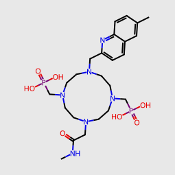 CNC(=O)CN1CCN(CP(=O)(O)O)CCN(Cc2ccc3cc(C)ccc3n2)CCN(CP(=O)(O)O)CC1